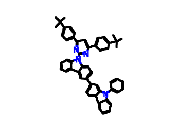 CC(C)(C)c1ccc(-c2cc(-c3ccc(C(C)(C)C)cc3)nc(-n3c4ccccc4c4cc(-c5ccc6c7ccccc7n(-c7ccccc7)c6c5)ccc43)n2)cc1